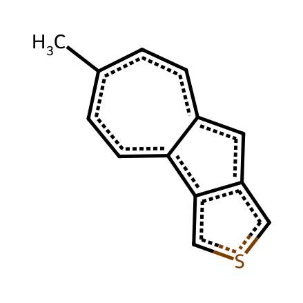 Cc1ccc2cc3cscc3c-2cc1